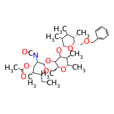 CCC1O[C@@H](OC2[C@H](C)OC(C)[C@H](C)[C@@H]2O[C@H]2O[C@@H](COCc3ccccc3)[C@@H](C)C(C)C2C)C(N=C=O)[C@@H](OC(C)=O)[C@@H]1C